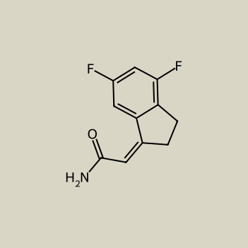 NC(=O)/C=C1/CCc2c(F)cc(F)cc21